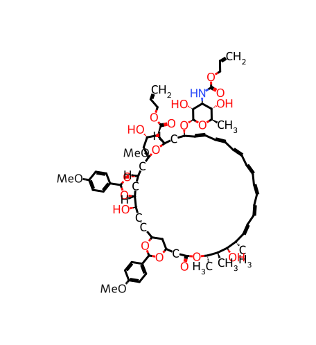 C=CCOC(=O)N[C@@H]1[C@@H](O)[C@H](O[C@H]2/C=C/C=C/C=C/C=C/C=C/C=C/C=C/[C@H](C)[C@@H](O)[C@@H](C)[C@H](C)OC(=O)CC3CC(CC[C@@H](O)[C@H]4C[C@@H](C[C@]5(OC)C[C@H](O)[C@@H](C(=O)OCC=C)[C@H](C2)O5)OC(c2ccc(OC)cc2)O4)OC(c2ccc(OC)cc2)O3)O[C@H](C)[C@H]1O